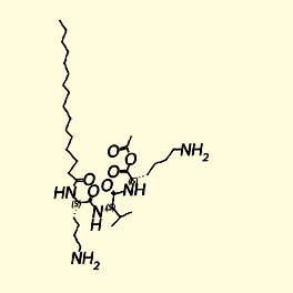 CCCCCCCCCCCCCCCC(=O)N[C@@H](CCCCN)C(=O)N[C@H](C(=O)N[C@@H](CCCCN)C(=O)OC(C)=O)C(C)C